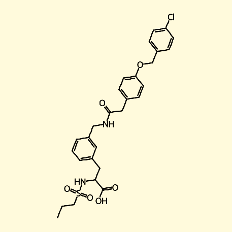 CCCS(=O)(=O)NC(Cc1cccc(CNC(=O)Cc2ccc(OCc3ccc(Cl)cc3)cc2)c1)C(=O)O